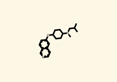 CC(C)CN(C)C1CCC(Oc2ccc3cnccc3c2)CC1